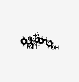 COc1cc(CN2CCC(O)CC2)ccc1-c1nc2[nH]nc(C3CCCCC3)c2c(=O)[nH]1